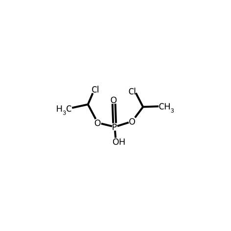 CC(Cl)OP(=O)(O)OC(C)Cl